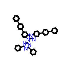 c1ccc(-c2ccc(-c3ccc4c(c3)nc3n(-c5nc(-c6ccccc6)nc(-c6ccccc6)n5)c5ccc(-c6ccc(-c7ccccc7)cc6)cc5n43)cc2)cc1